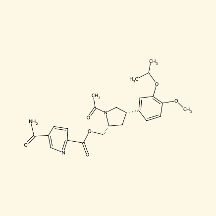 COc1ccc([C@@H]2C[C@H](COC(=O)c3ccc(C(N)=O)cn3)N(C(C)=O)C2)cc1OC(C)C